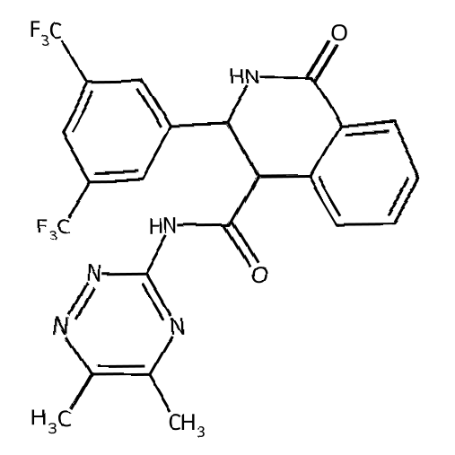 Cc1nnc(NC(=O)C2c3ccccc3C(=O)NC2c2cc(C(F)(F)F)cc(C(F)(F)F)c2)nc1C